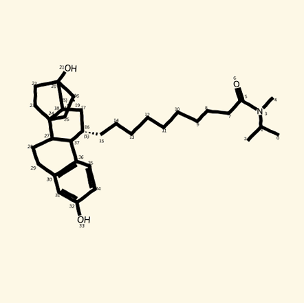 CC(C)N(C)C(=O)CCCCCCCCC[C@H]1C[C@]2(C)C3(O)CCC2(CC3)C2CCc3cc(O)ccc3C21